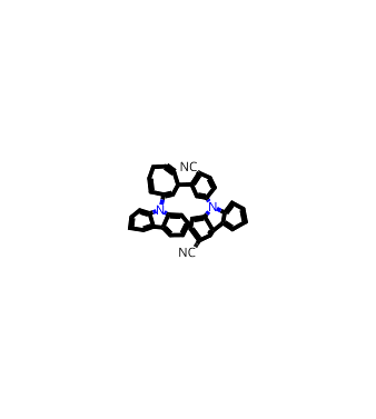 N#Cc1ccc2c(c1)c1ccccc1n2-c1ccc(C#N)c(C2C#CC/C=C\C(n3c4ccccc4c4ccccc43)=C/2)c1